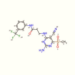 CS(=O)(=O)c1nc(N)nc(NCCC(=O)Nc2cccc(C(F)(F)F)c2)c1C#N